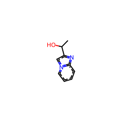 CC(O)c1cn2ccccc2n1